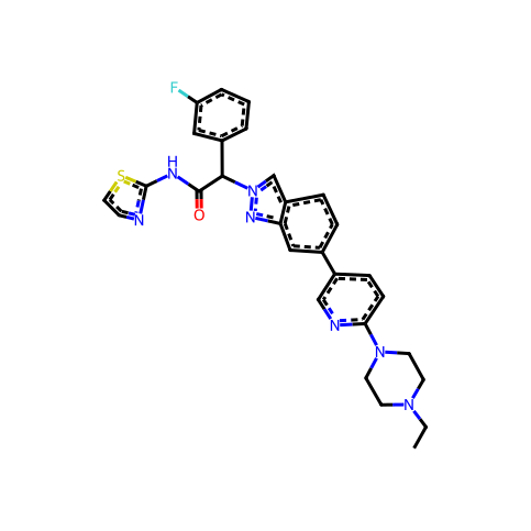 CCN1CCN(c2ccc(-c3ccc4cn(C(C(=O)Nc5nccs5)c5cccc(F)c5)nc4c3)cn2)CC1